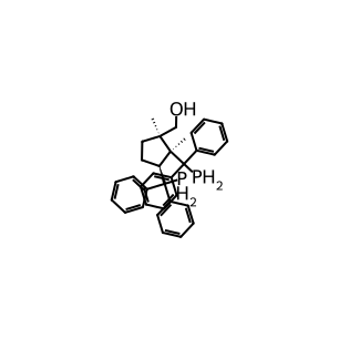 C[C@@]1(CO)CC[C@H](C(P)(c2ccccc2)c2ccccc2)[C@]1(C)C(P)(c1ccccc1)c1ccccc1